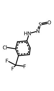 O=S=NNc1ccc(C(F)(F)F)c(Cl)c1